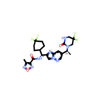 Cc1nonc1C(=O)N[C@H](c1cn2ncc([C@H](C)N3CC(F)(F)CNC3=O)cc2n1)C1CCC(F)(F)CC1